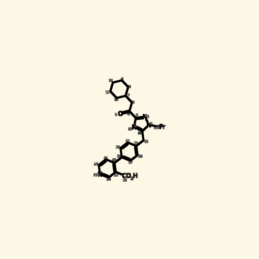 CCCn1nc(C(=O)CC2CCCCC2)nc1Cc1ccc(-c2ccncc2C(=O)O)cc1